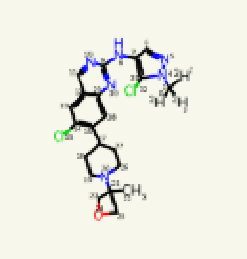 [2H]C([2H])([2H])n1ncc(Nc2ncc3cc(Cl)c(C4CCN(C5(C)COC5)CC4)cc3n2)c1Cl